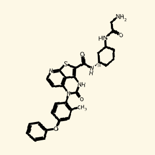 Cc1cc(Oc2ccccc2)ccc1N1C(=O)Nc2c(C(=O)N[C@H]3CCCC(NC(=O)CN)C3)sc3nccc1c23